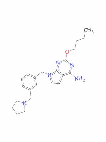 CCCCOc1nc(N)c2ccn(Cc3cccc(CN4CCCC4)c3)c2n1